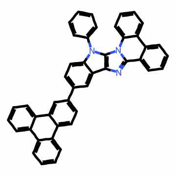 c1ccc(-n2c3ccc(-c4ccc5c6ccccc6c6ccccc6c5c4)cc3c3nc4c5ccccc5c5ccccc5n4c32)cc1